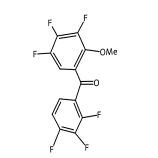 COc1c(C(=O)c2ccc(F)c(F)c2F)cc(F)c(F)c1F